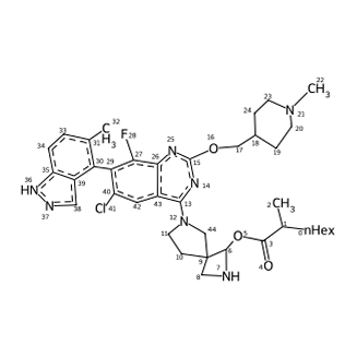 CCCCCCC(C)C(=O)OC1NCC12CCN(c1nc(OCC3CCN(C)CC3)nc3c(F)c(-c4c(C)ccc5[nH]ncc45)c(Cl)cc13)C2